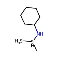 C[SiH]([SiH3])NC1CCCCC1